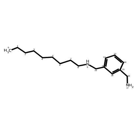 CCCCCCCCCNCc1cccc(CN)c1